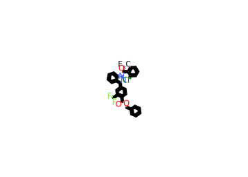 O=C(OCc1ccccc1)c1ccc(-c2nn(C(=O)c3c(Cl)cccc3C(F)(F)F)c3ccccc23)cc1C(F)F